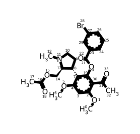 COc1cc(OC)c([C@H]2CCN(C)[C@@H]2COC(C)=O)c(OC(=O)c2cccc(Br)c2)c1C(C)=O